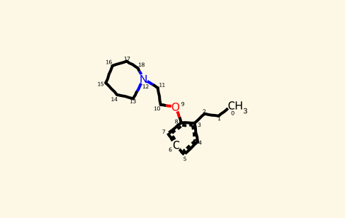 CCCc1ccccc1OCCN1CCCCCC1